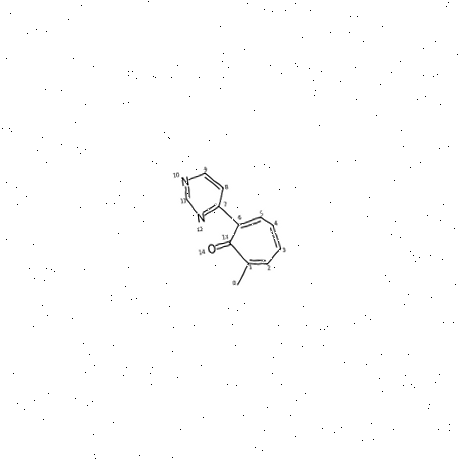 Cc1ccccc(-c2ccncn2)c1=O